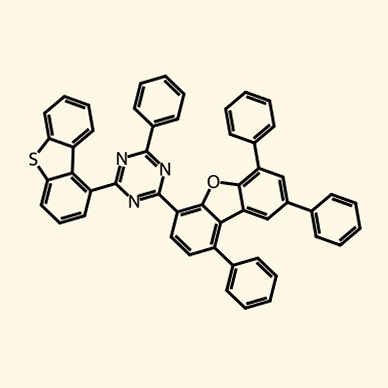 c1ccc(-c2cc(-c3ccccc3)c3oc4c(-c5nc(-c6ccccc6)nc(-c6cccc7sc8ccccc8c67)n5)ccc(-c5ccccc5)c4c3c2)cc1